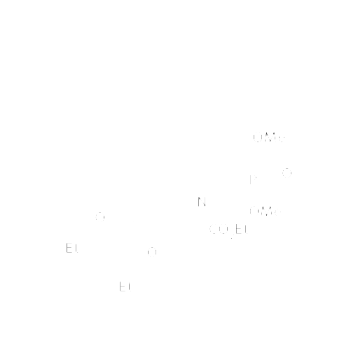 CCOC(=O)N(CC(OCC)OCC)C(c1ccccc1C)P(=O)(OC)OC